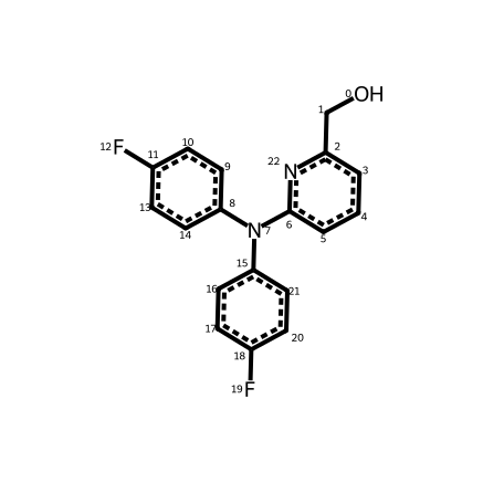 OCc1cccc(N(c2ccc(F)cc2)c2ccc(F)cc2)n1